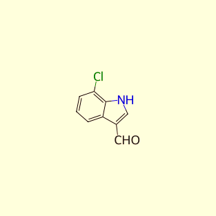 O=Cc1c[nH]c2c(Cl)cccc12